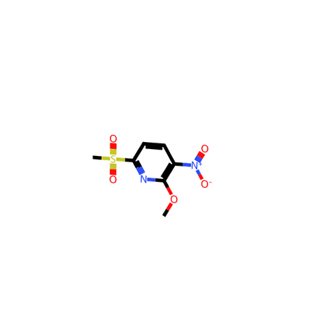 COc1nc(S(C)(=O)=O)ccc1[N+](=O)[O-]